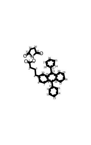 O=C(CCCc1ccc2c(-c3ccccc3)c3ccccc3c(-c3ccccc3)c2c1)ON1C(=O)CCC1=O